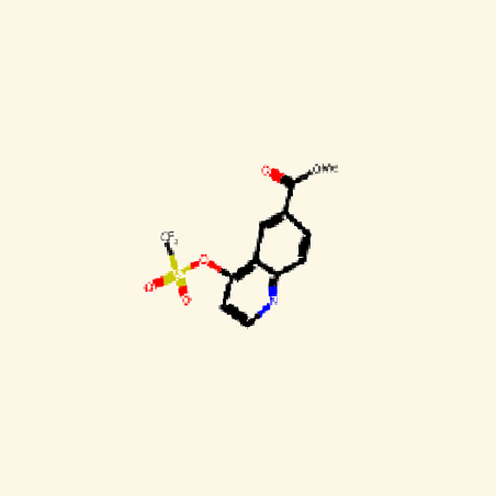 COC(=O)c1ccc2nccc(OS(=O)(=O)C(F)(F)F)c2c1